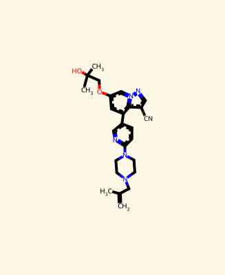 C=C(C)CN1CCN(c2ccc(-c3cc(OCC(C)(C)O)cn4ncc(C#N)c34)cn2)CC1